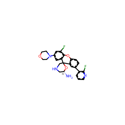 N[C@@H]1CNCC2(O1)c1cc(-c3cccnc3F)ccc1Oc1c(F)cc(N3CCOCC3)cc12